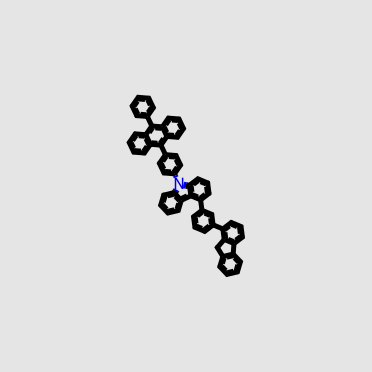 c1ccc(-c2c3ccccc3c(-c3ccc(-n4c5ccccc5c5c(-c6cccc(-c7cccc8c7Cc7ccccc7-8)c6)cccc54)cc3)c3ccccc23)cc1